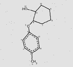 Cc1ccc(OC2CCCCC2O)cc1